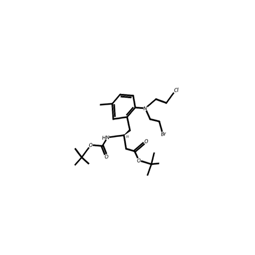 Cc1ccc(N(CCCl)CCBr)c(C[C@@H](CC(=O)OC(C)(C)C)NC(=O)OC(C)(C)C)c1